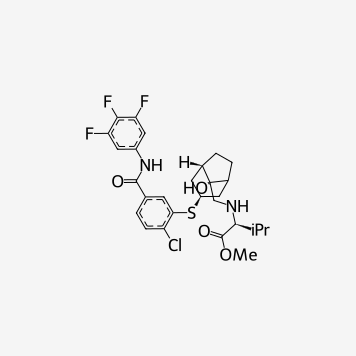 COC(=O)[C@@H](NC[C@@]1(O)C2CC[C@H]1C[C@H](Sc1cc(C(=O)Nc3cc(F)c(F)c(F)c3)ccc1Cl)C2)C(C)C